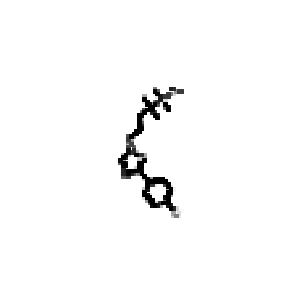 CC(C)(CCCn1cnc(-c2ccc(Br)cc2)n1)[Si](C)(C)O